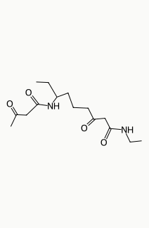 CCNC(=O)CC(=O)CCCC(CC)NC(=O)CC(C)=O